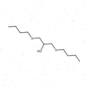 CCCCSCC(O)CSCCCC